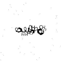 Cc1ncccc1O[C@H]1CO[C@H]2[C@@H]1OC[C@@H]2NC(=O)NC1CCOCC1